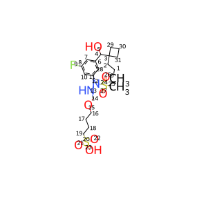 CCCC1(C(O)c2cc(F)cc(N(NCOCCCCS(=O)(=O)O)S(C)(=O)=O)c2)CCC1